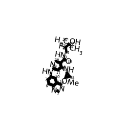 COc1ncnc2ccc(Nc3cc(NC4CC4)c(C(=O)NC[C@@H](F)C(C)(C)O)cn3)cc12